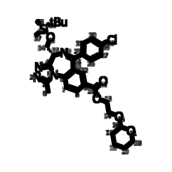 Cc1nnc2n1-c1ccc(C(=O)OCCOC3CCCCO3)cc1C(c1ccc(Cl)cc1)=N[C@H]2CO[Si](C)(C)C(C)(C)C